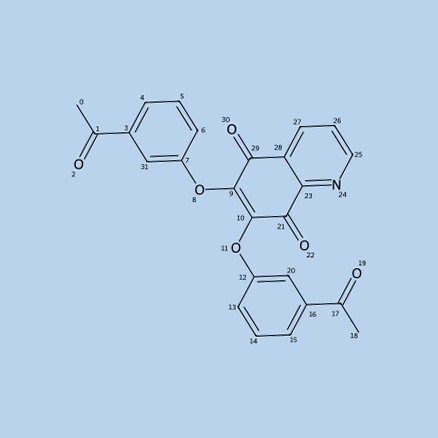 CC(=O)c1cccc(OC2=C(Oc3cccc(C(C)=O)c3)C(=O)c3ncccc3C2=O)c1